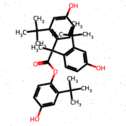 CC(C)(C)c1cc(O)ccc1OC(=O)C(C)(c1ccc(O)cc1C(C)(C)C)c1ccc(O)cc1C(C)(C)C